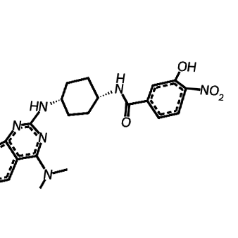 CN(C)c1nc(N[C@H]2CC[C@@H](NC(=O)c3ccc([N+](=O)[O-])c(O)c3)CC2)nc2ccccc12